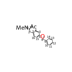 CN[C@@H](Cc1ccc(OCc2ccccc2)cc1)C(C)=O